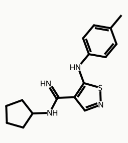 Cc1ccc(Nc2sncc2C(=N)NC2CCCC2)cc1